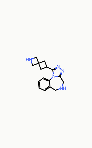 c1ccc2c(c1)CNCc1nnc(C3CC4(CNC4)C3)n1-2